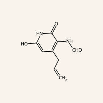 C=CCc1cc(O)[nH]c(=O)c1NC=O